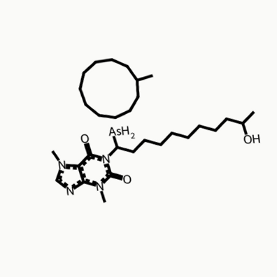 CC(O)CCCCCCCCC([AsH2])n1c(=O)c2c(ncn2C)n(C)c1=O.CC1CCCCCCCCCC1